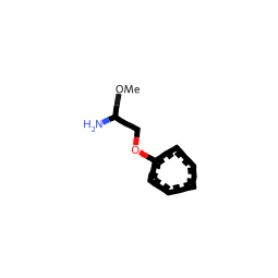 COC(N)COc1ccccc1